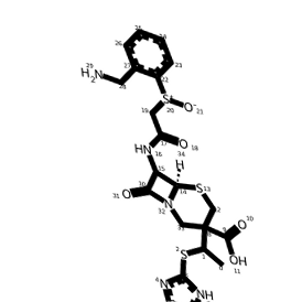 CC(Sc1nnn[nH]1)C1(C(=O)O)CS[C@@H]2C(NC(=O)C[S+]([O-])c3ccccc3CN)C(=O)N2C1